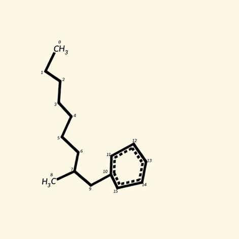 CCCCCCCC(C)Cc1ccccc1